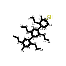 CCCc1cc(-c2cc(CCC)c(-c3ccc(S)c(C)c3CCC)cc2CCC)c(CCC)cc1C